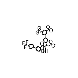 COC(=O)CC(NC(=O)c1cc(-c2ccc(C(F)(F)F)cc2)ccc1O)c1ccc(-c2cc(C(=O)OC)cc([N+](=O)[O-])c2)cc1